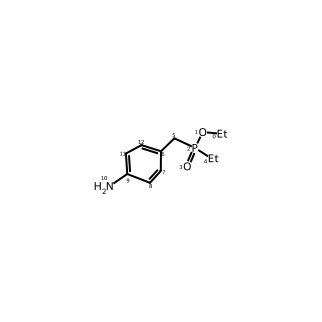 CCOP(=O)(CC)Cc1ccc(N)cc1